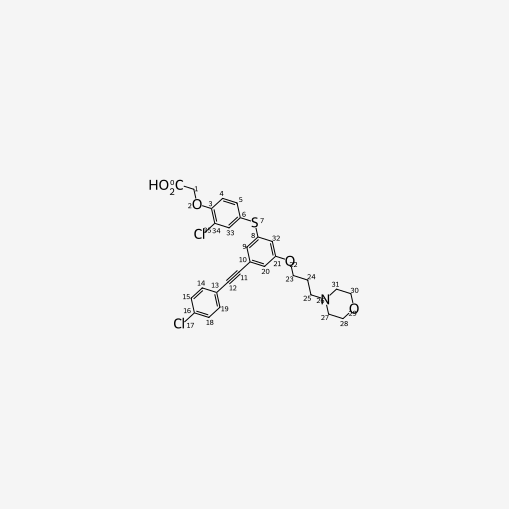 O=C(O)COc1ccc(Sc2cc(C#Cc3ccc(Cl)cc3)cc(OCCCN3CCOCC3)c2)cc1Cl